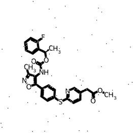 COC(=O)Cc1ccc(Sc2ccc(-c3onc(C)c3NC(=O)O[C@H](C)c3ccccc3F)cc2)nc1